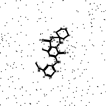 CNc1cc(Nc2cc(C)c3n(c2=O)NC2(CCCCC2)NC3=O)ncn1